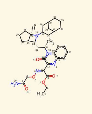 CCOC(=O)/C(=N\OCC(N)=O)c1nc2ccccc2n([C@@H](C)C[C@@H]2C3CCC[C@H]3N2C2CC3CCCC(C3)C2)c1=O